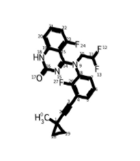 CC1(C#Cc2cccc(N(CC(F)F)c3nc(=O)[nH]c4cccc(F)c34)c2F)CC1